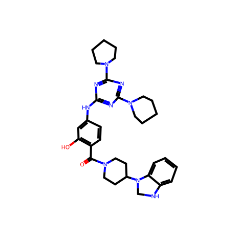 O=C(c1ccc(Nc2nc(N3CCCCC3)nc(N3CCCCC3)n2)cc1O)N1CCC(N2CNc3ccccc32)CC1